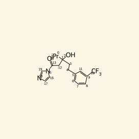 CC(C)C(O)(CCc1cccc(C(F)(F)F)c1)CC(=O)n1ccnc1